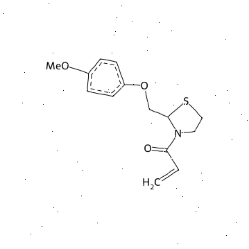 C=CC(=O)N1CCSC1COc1ccc(OC)cc1